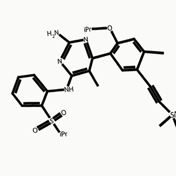 Cc1cc(OC(C)C)c(-c2nc(N)nc(Nc3ccccc3S(=O)(=O)C(C)C)c2C)cc1C#C[Si](C)(C)C